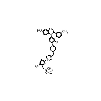 Cc1cccc(C2COc3cc(O)ccc3C2c2ccc(N3CCC(CN4CCN(c5ccc(C)c(CN(C)C=O)c5)CC4)CC3)c(F)c2)c1